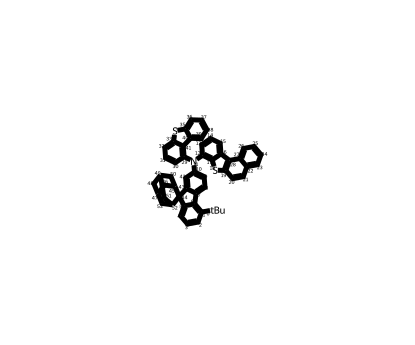 CC(C)(C)c1cccc2c1-c1ccc(N(c3cccc4c3sc3ccc5ccccc5c34)c3cccc4sc5ccccc5c34)cc1C21C2CC3CC(C2)CC1C3